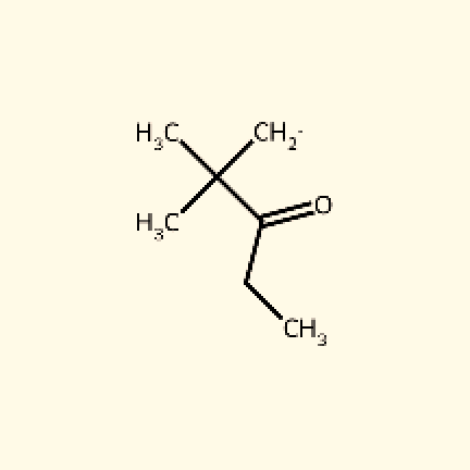 [CH2]C(C)(C)C(=O)CC